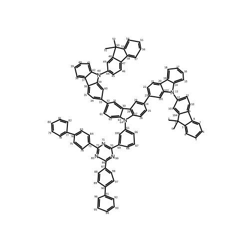 CC1(C)c2ccccc2-c2ccc(-n3c4ccccc4c4ccc(-c5ccc6c(c5)c5cc(-c7ccc8c9ccccc9n(-c9ccc%10c(c9)C(C)(C)c9ccccc9-%10)c8c7)ccc5n6-c5cccc(-c6nc(-c7ccc(-c8ccccc8)cc7)nc(-c7ccc(-c8ccccc8)cc7)n6)c5)cc43)cc21